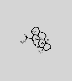 C=C=C(C(N)=O)C1CCCC2CC[C@H]3[C@@H]4CCC[C@@]4(C)CC[C@@H]3[C@]21C